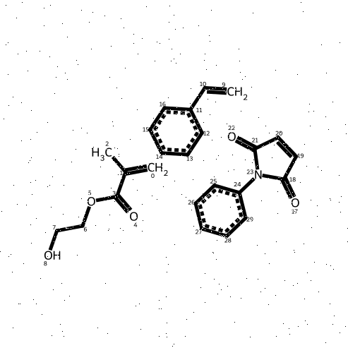 C=C(C)C(=O)OCCO.C=Cc1ccccc1.O=C1C=CC(=O)N1c1ccccc1